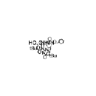 CC(C)(C)OC(=O)N=C(NC(=O)OC(C)(C)C)n1ncc2c1C(CNC(=O)O)N1CC2N(OCc2ccccc2)C1=O